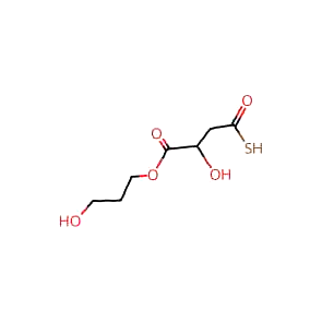 O=C(S)CC(O)C(=O)OCCCO